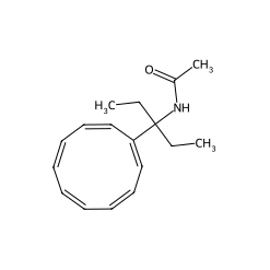 CCC(CC)(NC(C)=O)c1ccccccccc1